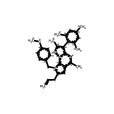 C=CCc1cc2c(C)nc3c(-c4c(C)cc(C)cc4C)c(C)nn3c2n1Cc1ccc(OC)cc1